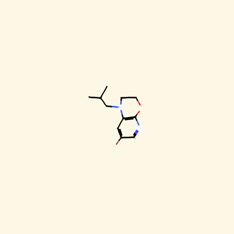 CC(C)CN1CCOc2ncc(Br)cc21